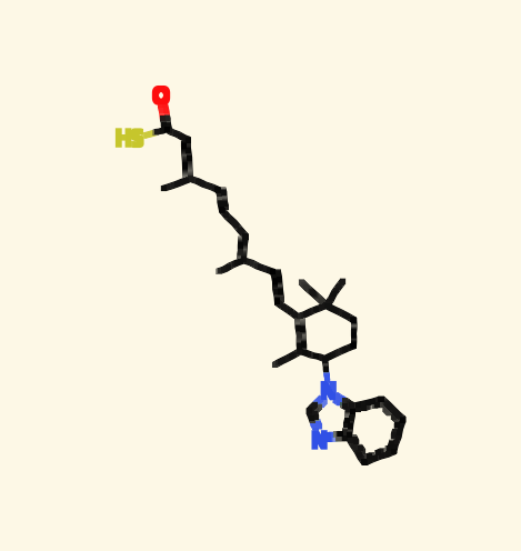 CC1=C(/C=C/C(C)=C/C=C/C(C)=C/C(=O)S)C(C)(C)CCC1n1cnc2ccccc21